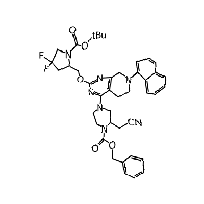 CC(C)(C)OC(=O)N1CC(F)(F)CC1COc1nc2c(c(N3CCN(C(=O)OCc4ccccc4)C(CC#N)C3)n1)CCN(c1cccc3ccccc13)C2